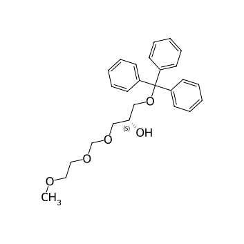 COCCOCOC[C@@H](O)COC(c1ccccc1)(c1ccccc1)c1ccccc1